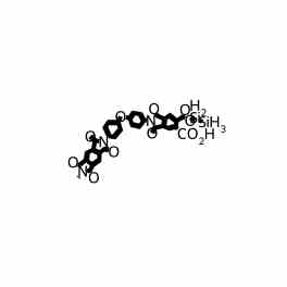 Cn1c(=O)c2cc3c(=O)n(-c4ccc(Oc5ccc(N6C(=O)c7cc(C(=O)O)c(C(=O)O[SiH2][SiH3])cc7C6=O)cc5)cc4)c(=O)c3cc2c1=O